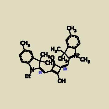 CCN1/C(=C/C2=C(O)C(=C/C3=[N+](C)c4ccc(C)cc4C3(C)C)/C2=O)C(C)(C)c2cc(C)ccc21